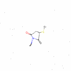 C=C1C(SCC)CC(=O)N1C